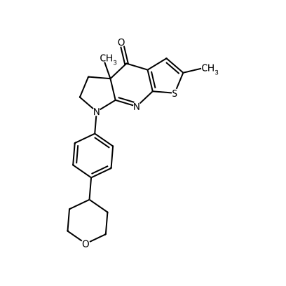 Cc1cc2c(s1)N=C1N(c3ccc(C4CCOCC4)cc3)CCC1(C)C2=O